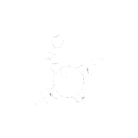 Cc1ccc(S(=O)(=O)Nc2cc3c(O)c(c2)Cc2cc(S(=O)(=O)O)cc(c2O)Cc2cc(C)cc(c2O)Cc2cc(S(=O)(=O)O)cc(c2O)C3)cc1